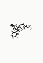 CCC(C)CC(N1CCC(C(F)(F)F)CC1)S(=O)(=O)c1ccccc1